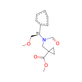 COC[C@@H](c1ccccc1)N(C=O)CC1(C(=O)OC)CC1